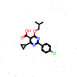 CC(C)COc1nc(-c2ccc(Cl)cc2)nc(C2CC2)c1C(=O)O